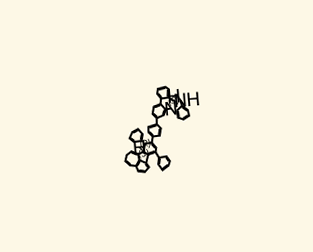 C1=Cc2cccc3c2C(=CC1)[C@H]1C3=C(c2ccccc2)C=C(c2ccc(-c3ccc4c(c3)N3c5ccccc5N[C@@H]3c3ccccc3-4)cc2)[C@H]1c1ccccc1